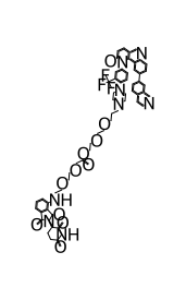 O=C1CCC(N2C(=O)c3cccc(NCCOCCOCC(=O)OCCOCCOCCCN4CCN(c5ccc(-n6c(=O)ccc7cnc8ccc(-c9ccc%10ccncc%10c9)cc8c76)cc5C(F)(F)F)CC4)c3C2=O)C(=O)N1